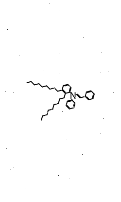 CCCCCCCCCc1cccc(N(C=Cc2ccccc2)c2ccccc2)c1CCCCCCCCC